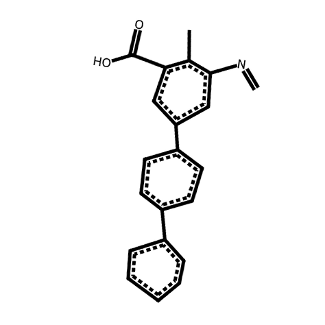 C=Nc1cc(-c2ccc(-c3ccccc3)cc2)cc(C(=O)O)c1C